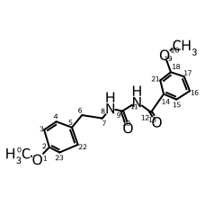 COc1ccc(CCNC(=O)NC(=O)c2cccc(OC)c2)cc1